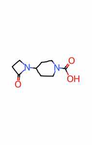 O=C(O)N1CCC(N2CCC2=O)CC1